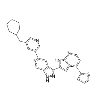 c1csc(-c2ccnc3[nH]c(-c4n[nH]c5cnc(-c6cncc(CC7CCCCC7)c6)cc45)cc23)c1